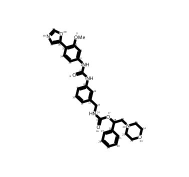 COc1cc(NC(=O)Nc2cccc(CNC(=O)OC(CN3CCOCC3)c3ccccc3)c2)ccc1-c1cnco1